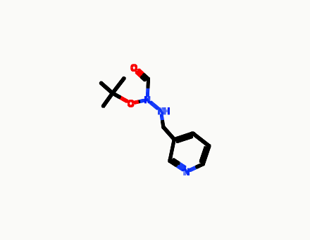 CC(C)(C)ON(C=O)NCc1cccnc1